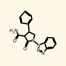 NC(=O)C1C(=O)N(n2nnc3ccccc32)CC1c1ccccc1